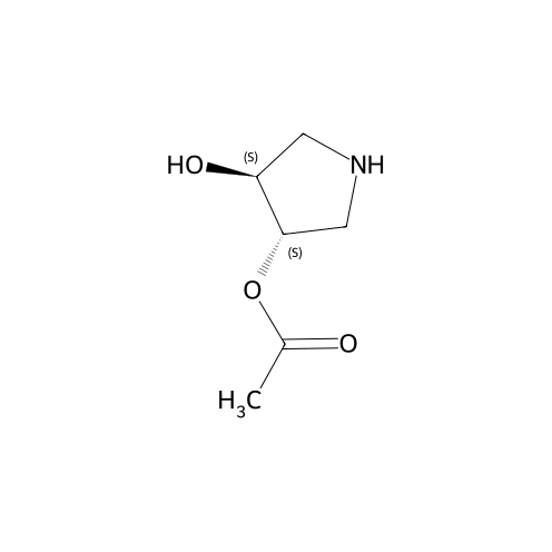 CC(=O)O[C@H]1CNC[C@@H]1O